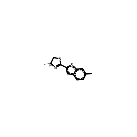 Cc1ccc2cc(C3=N[C@H](C)CS3)sc2c1